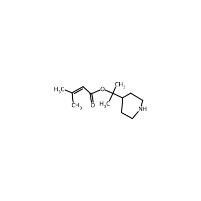 CC(C)=CC(=O)OC(C)(C)C1CCNCC1